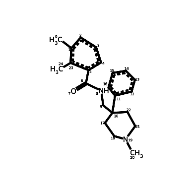 Cc1cccc(C(=O)NCC2(c3ccccc3)CCN(C)CC2)c1C